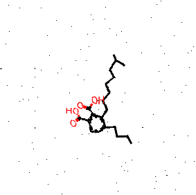 CCCCc1ccc(C(=O)O)c(C(=O)O)c1CCCCCCC(C)C